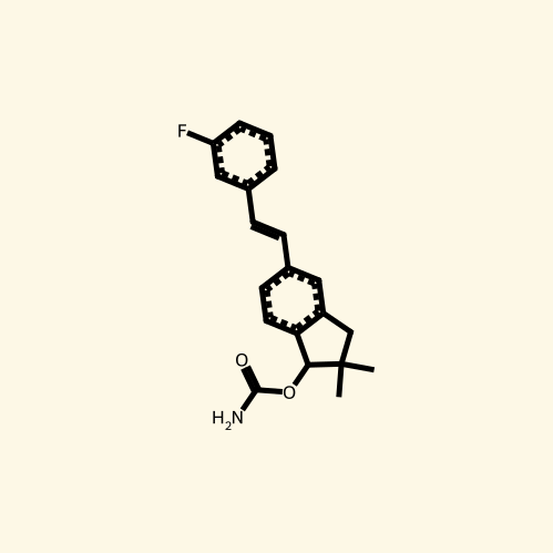 CC1(C)Cc2cc(/C=C/c3cccc(F)c3)ccc2C1OC(N)=O